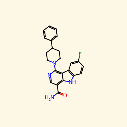 NC(=O)c1cnc(N2CCC(c3ccccc3)CC2)c2c1[nH]c1ccc(F)cc12